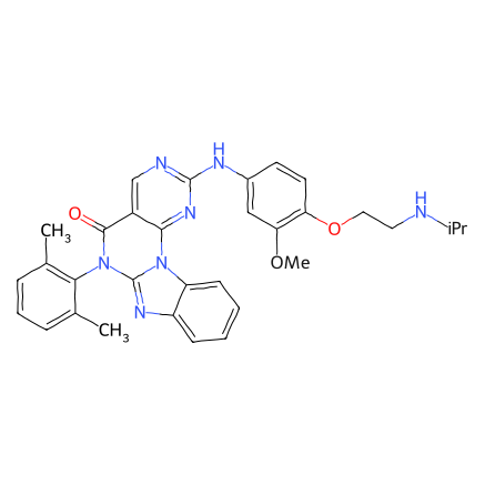 COc1cc(Nc2ncc3c(=O)n(-c4c(C)cccc4C)c4nc5ccccc5n4c3n2)ccc1OCCNC(C)C